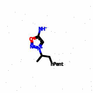 CCCCCCC(C)[n+]1cc([NH-])on1